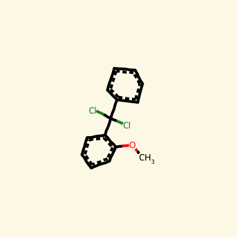 COc1ccccc1C(Cl)(Cl)c1ccccc1